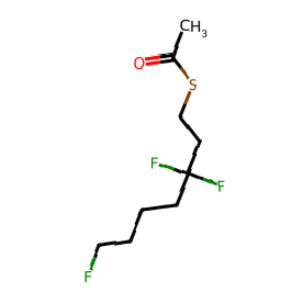 CC(=O)SCCC(F)(F)CCCCF